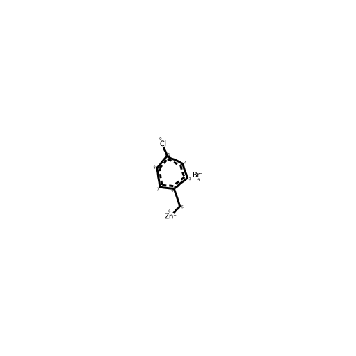 Clc1ccc([CH2][Zn+])cc1.[Br-]